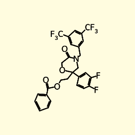 O=C(OCCC1(c2ccc(F)c(F)c2)CN(Cc2cc(C(F)(F)F)cc(C(F)(F)F)c2)C(=O)CO1)c1ccccc1